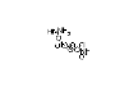 CC(=O)Nc1ccc(S(=O)(=O)N2CCN(C(=O)c3ccc(C(=N)N)cc3)CC2)cc1Cl